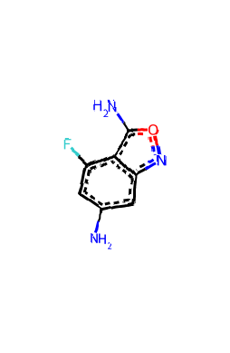 Nc1cc(F)c2c(N)onc2c1